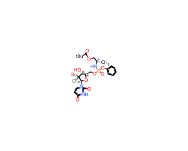 C[C@@H](COC(=O)C(C)(C)C)NP(=O)(OC[C@H]1O[C@@H](n2ccc(=O)[nH]c2=O)[C@](Cl)(Br)[C@@H]1O)Oc1ccccc1